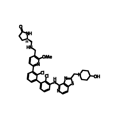 COc1nc(-c2cccc(-c3cccc(Nc4nccc5sc(CN6CCC(O)CC6)nc45)c3Cl)c2Cl)ccc1CNC[C@H]1CCC(=O)N1